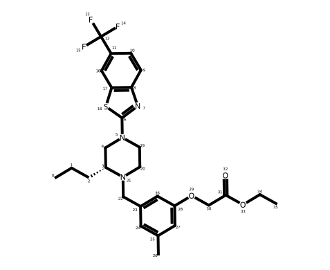 CCC[C@@H]1CN(c2nc3ccc(C(F)(F)F)cc3s2)CCN1Cc1cc(C)cc(OCC(=O)OCC)c1